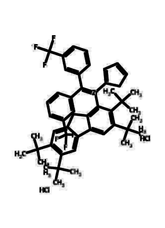 CC(C)(C)c1cc2c(cc1C(C)(C)C)-c1cc(C(C)(C)C)c(C(C)(C)C)[c]([Zr]([C]3=CC=CC3)=[C](c3cccc(C(F)(F)F)c3)c3cccc(C(F)(F)F)c3)c1C2.Cl.Cl